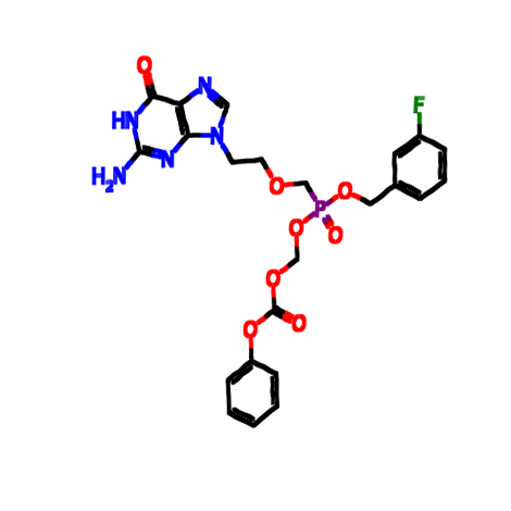 Nc1nc2c(ncn2CCOCP(=O)(OCOC(=O)Oc2ccccc2)OCc2cccc(F)c2)c(=O)[nH]1